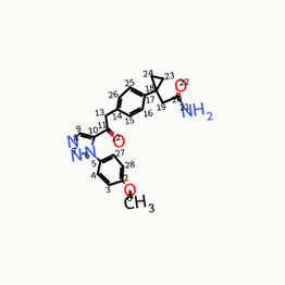 COc1ccc(-n2nncc2C(=O)Cc2ccc(C3(CC(N)=O)CC3)cc2)cc1